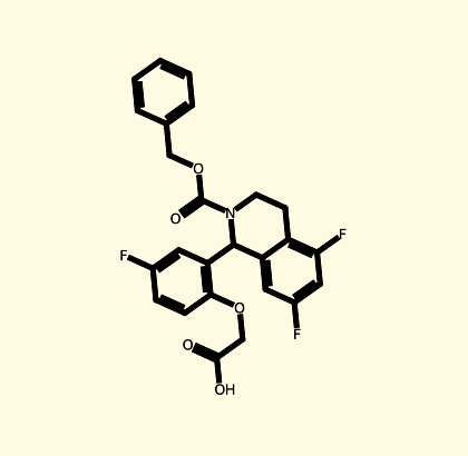 O=C(O)COc1ccc(F)cc1C1c2cc(F)cc(F)c2CCN1C(=O)OCc1ccccc1